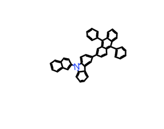 c1ccc(-c2c3ccccc3c(-c3ccccc3)c3cc(-c4ccc5c(c4)c4ccccc4n5-c4ccc5ccccc5c4)ccc23)cc1